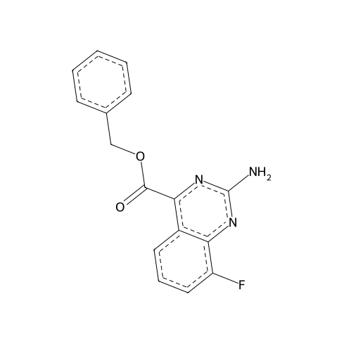 Nc1nc(C(=O)OCc2ccccc2)c2cccc(F)c2n1